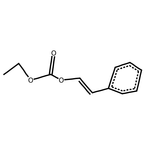 CCOC(=O)OC=Cc1ccccc1